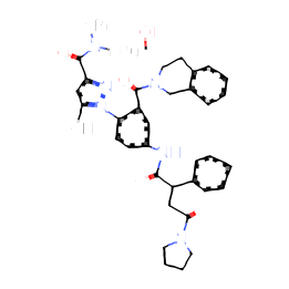 CCCCN(CCCC)C(=O)c1cc(C)n(-c2ccc(NC(=O)C(CC(=O)N3CCCC3)c3ccccc3)cc2C(=O)N2Cc3ccccc3C[C@H]2CO)n1